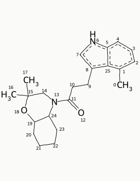 Cc1cccc2[nH]cc(CCC(=O)N3CC(C)(C)OC4CCCCC43)c12